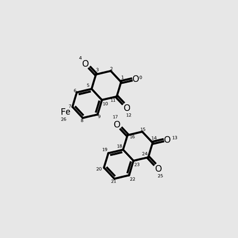 O=C1CC(=O)c2ccccc2C1=O.O=C1CC(=O)c2ccccc2C1=O.[Fe]